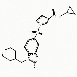 CC(C)(C)c1nc2cc(S(=O)(=O)n3ccc(C(=O)NC4CC4)c3)ccc2n1CC1CCOCC1